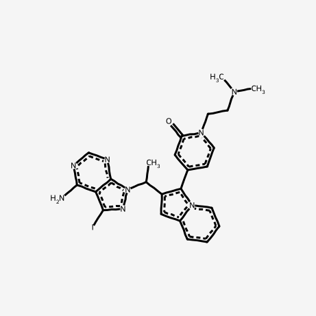 CC(c1cc2ccccn2c1-c1ccn(CCN(C)C)c(=O)c1)n1nc(I)c2c(N)ncnc21